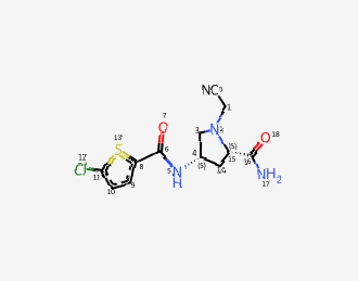 N#CCN1C[C@@H](NC(=O)c2ccc(Cl)s2)C[C@H]1C(N)=O